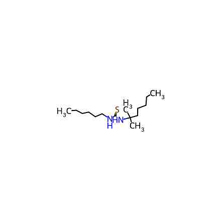 CCCCCCNC(=S)NC(C)(C)CCCCC